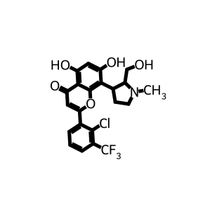 CN1CCC(c2c(O)cc(O)c3c(=O)cc(-c4cccc(C(F)(F)F)c4Cl)oc23)C1CO